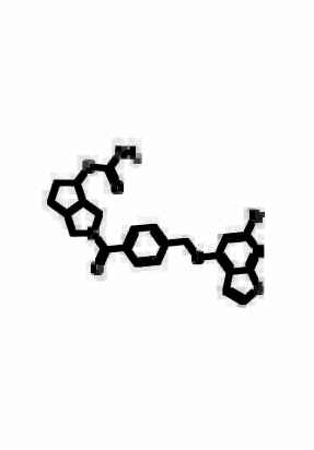 NC(=O)OC1CCC2CN(C(=O)c3ccc(COc4cc(Br)nc5sccc45)cc3)CC21